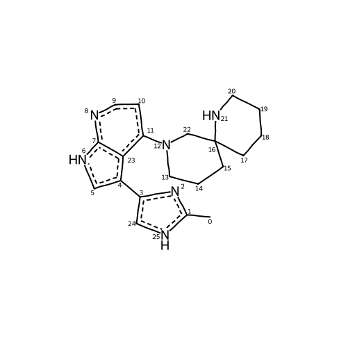 Cc1nc(-c2c[nH]c3nccc(N4CCCC5(CCCCN5)C4)c23)c[nH]1